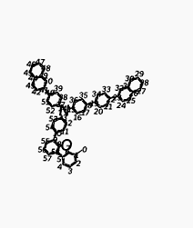 Cc1cccc2c1oc1c(-c3ccc(N(c4ccc(-c5ccc(-c6ccc7ccccc7c6)cc5)cc4)c4ccc(-c5ccc6ccccc6c5)cc4)cc3)cccc12